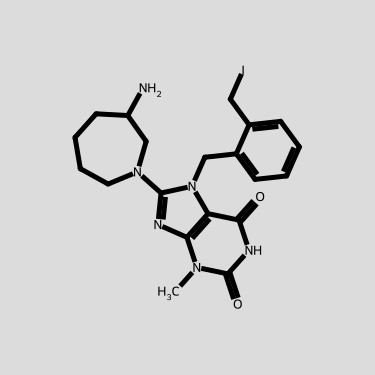 Cn1c(=O)[nH]c(=O)c2c1nc(N1CCCCC(N)C1)n2Cc1ccccc1CI